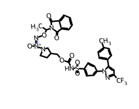 Cc1ccc(-c2cc(C(F)(F)F)nn2-c2ccc(S(=O)(=O)NC(=O)OCC3CCN(/[N+]([O-])=N\OC(C)N4C(=O)c5ccccc5C4=O)C3)cc2)cc1